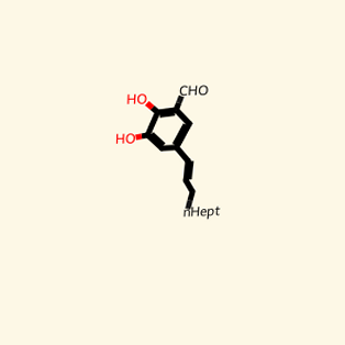 CCCCCCCCC=Cc1cc(O)c(O)c(C=O)c1